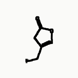 O=C1CC(CF)=CO1